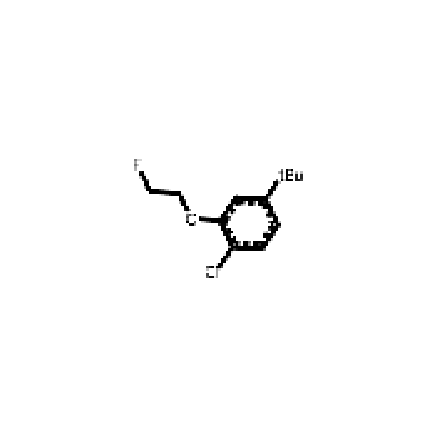 CC(C)(C)c1ccc(Cl)c(OCCF)c1